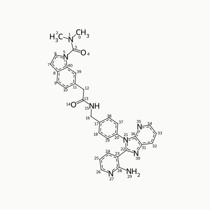 CN(C)C(=O)n1ccc2ccc(CC(=O)NCc3ccc(-n4c(-c5cccnc5N)nc5cccnc54)cc3)cc21